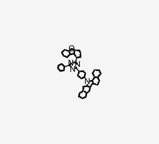 c1ccc(-c2nc(-c3ccc(-n4c5cc6ccccc6cc5c5ccc6ccccc6c54)cc3)nc(-c3cccc4oc5ccccc5c34)n2)cc1